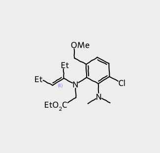 CC/C=C(\CC)N(CC(=O)OCC)c1c(COC)ccc(Cl)c1N(C)C